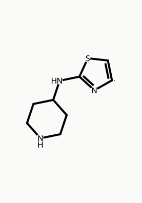 [c]1csc(NC2CCNCC2)n1